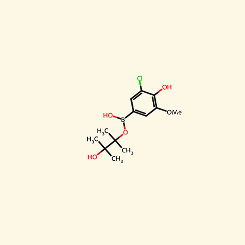 COc1cc(B(O)OC(C)(C)C(C)(C)O)cc(Cl)c1O